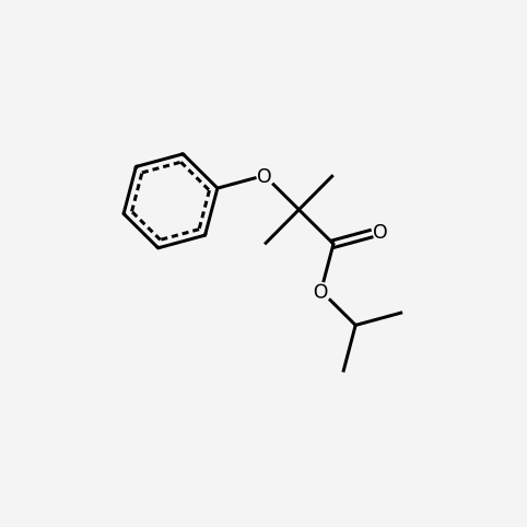 CC(C)OC(=O)C(C)(C)Oc1ccccc1